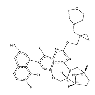 CCc1c(F)ccc2cc(O)cc(-c3nc4c5c(nc(OCC6(CN7CCOCC7)CC6)nc5c3F)N3C[C@@H]5CC[C@@H](N5)[C@@H]3CO4)c12